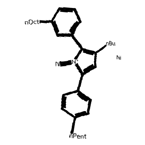 CCCCCCCCc1cccc(C2=C(CCCC)C=C(c3ccc(CCCCC)cc3)[N+]2=[N-])c1.[Ni]